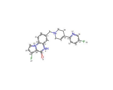 O=c1[nH]c2cc(CN3CC=C(c4ccc(F)cn4)CC3)ccc2n2ccc(F)c12